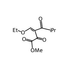 CCO/C=C(\C(=O)C(=O)OC)C(=O)C(C)C